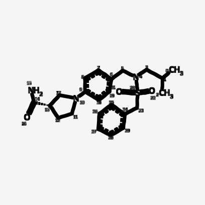 CC(C)CN(Cc1ccc(N2CC[C@H](C(N)=O)C2)cc1)S(=O)(=O)Cc1ccccc1